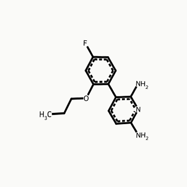 CCCOc1cc(F)ccc1-c1ccc(N)nc1N